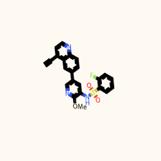 C#Cc1ccnc2ccc(-c3cnc(OC)c(NS(=O)(=O)c4ccccc4F)c3)cc12